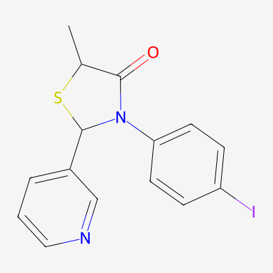 CC1SC(c2cccnc2)N(c2ccc(I)cc2)C1=O